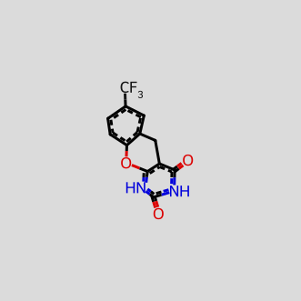 O=c1[nH]c2c(c(=O)[nH]1)Cc1cc(C(F)(F)F)ccc1O2